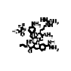 C=CCNC(=O)C(Cc1ccc(C(=N)N)cc1)C(=O)NC(Cc1ccc(N)cc1)C(=O)N[C@@H](CCCNC(=N)N)C(N)=O.O=C(O)C(F)(F)F